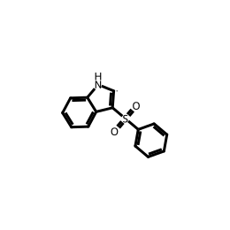 O=S(=O)(c1ccccc1)c1[c][nH]c2ccccc12